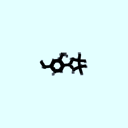 COc1cc(N)c(B2OC(C)(C)C(C)(C)O2)cn1